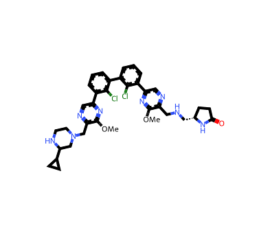 COc1nc(-c2cccc(-c3cccc(-c4cnc(CN5CCNC(C6CC6)C5)c(OC)n4)c3Cl)c2Cl)cnc1CNC[C@@H]1CCC(=O)N1